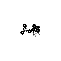 CC1(C)c2ccccc2C2(c3ccccc3-c3ccccc32)c2ccc3c(sc4ccc(-c5nc(-c6ccccc6)nc(-c6ccccc6)n5)cc43)c21